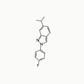 CC(C)c1ccc2cn(-c3ccc(F)cc3)nc2c1